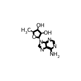 C[C@@H]1O[C@@H](n2cnc3c(N)ncnc32)[C@H](O)[C@@H]1O